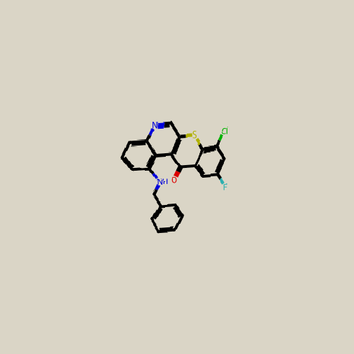 O=c1c2cc(F)cc(Cl)c2sc2cnc3cccc(NCc4ccccc4)c3c12